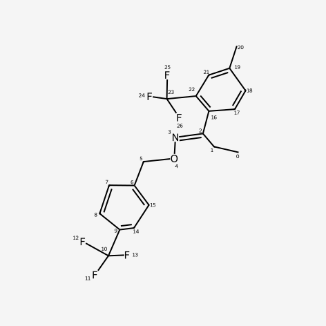 CC/C(=N\OCc1ccc(C(F)(F)F)cc1)c1ccc(C)cc1C(F)(F)F